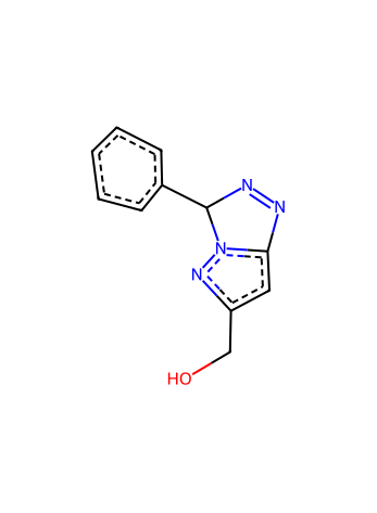 OCc1cc2n(n1)C(c1ccccc1)N=N2